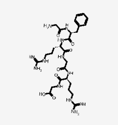 N=C(N)NCCC[C@H](NC(=O)CNC(=O)[C@H](CCCNC(=N)N)NC(=O)[C@H](Cc1ccccc1)NC(=O)CN)C(=O)NCC(=O)O